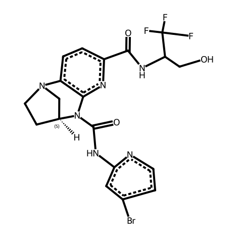 O=C(NC(CO)C(F)(F)F)c1ccc2c(n1)N(C(=O)Nc1cc(Br)ccn1)[C@H]1CCN2C1